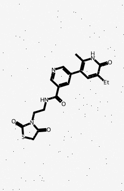 CCc1cc(-c2cncc(C(=O)NCCN3C(=O)CSC3=O)c2)c(C)[nH]c1=O